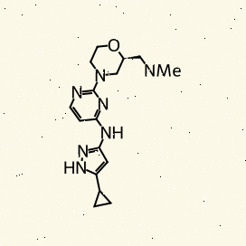 CNC[C@H]1CN(c2nccc(Nc3cc(C4CC4)[nH]n3)n2)CCO1